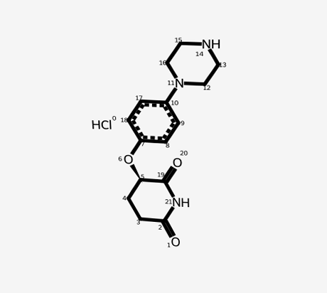 Cl.O=C1CC[C@@H](Oc2ccc(N3CCNCC3)cc2)C(=O)N1